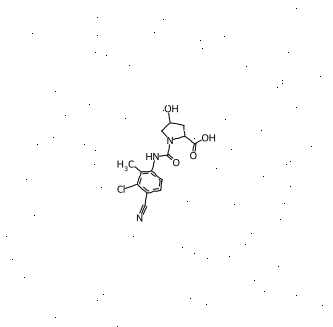 Cc1c(NC(=O)N2CC(O)CC2C(=O)O)ccc(C#N)c1Cl